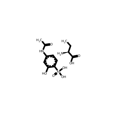 CC(=O)Nc1ccc([As](=O)(O)O)c(O)c1.CC[C@H](N)C(=O)O